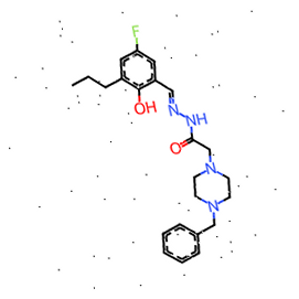 CCCc1cc(F)cc(C=NNC(=O)CN2CCN(Cc3ccccc3)CC2)c1O